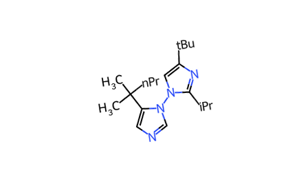 CCCC(C)(C)c1cncn1-n1cc(C(C)(C)C)nc1C(C)C